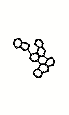 c1ccc2cc(-c3ccc(-c4c5ccccc5cc5cccc(-c6ccc7ccccc7c6)c45)cc3)ccc2c1